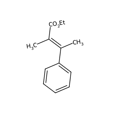 CCOC(=O)C(C)=C(C)c1ccccc1